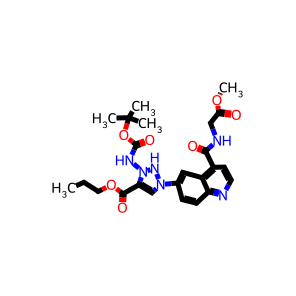 CCCOC(=O)C1=CN(c2ccc3nccc(C(=O)NCC(=O)OC)c3c2)NN1NC(=O)OC(C)(C)C